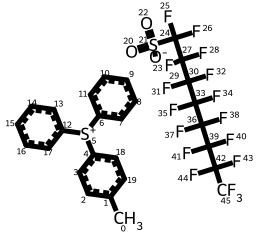 Cc1ccc([S+](c2ccccc2)c2ccccc2)cc1.O=S(=O)([O-])C(F)(F)C(F)(F)C(F)(F)C(F)(F)C(F)(F)C(F)(F)C(F)(F)C(F)(F)F